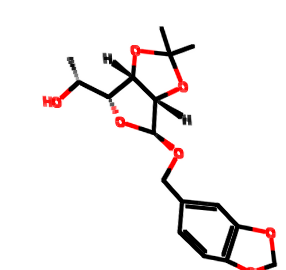 C[C@@H](O)[C@H]1O[C@H](OCc2ccc3c(c2)OCO3)[C@H]2OC(C)(C)O[C@H]21